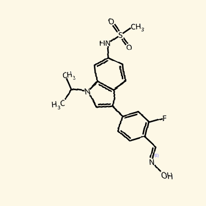 CC(C)n1cc(-c2ccc(/C=N/O)c(F)c2)c2ccc(NS(C)(=O)=O)cc21